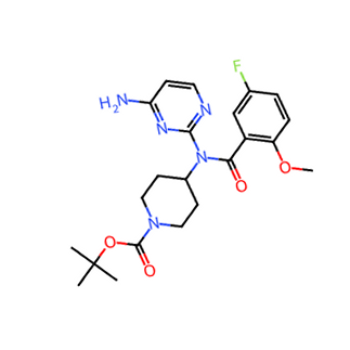 COc1ccc(F)cc1C(=O)N(c1nccc(N)n1)C1CCN(C(=O)OC(C)(C)C)CC1